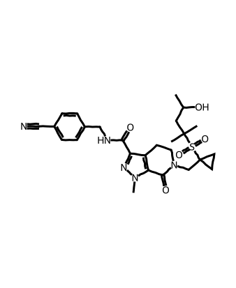 CC(O)CC(C)(C)S(=O)(=O)C1(CN2CCc3c(C(=O)NCc4ccc(C#N)cc4)nn(C)c3C2=O)CC1